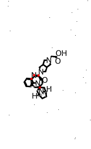 O=C(O)CN1CC2CN(c3nc4ccccc4n([C@H]4C[C@H]5CC[C@@H](C4)N5C4CCCCCCC4)c3=O)CC2C1